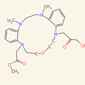 COC(=O)CN1CCOCCN(CC(=O)CO)c2ccccc2N(C)CCN(C)c2ccccc21